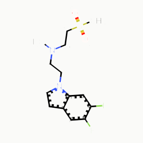 CN(CCn1ccc2cc(F)c(F)cc21)CCS(C)(=O)=O